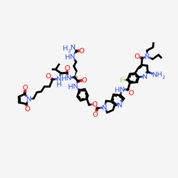 CCCN(CCC)C(=O)C1=Cc2cc(F)c(C(=O)Nc3cnc4c(c3)CN(C(=O)OCc3ccc(NC(=O)[C@H](CCCNC(N)=O)NC(=O)[C@@H](NC(=O)CCCCCN5C(=O)C=CC5=O)C(C)C)cc3)CC4)cc2N=C(N)C1